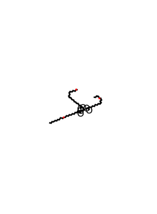 CC/C=C\C/C=C\C/C=C\CCCCCCCC(=O)OC[C@H](COC(=O)CCCCCCCCCCCCCCCCCCCCC)OC(=O)CCCCCCCCC/C=C\C/C=C\CCCCC